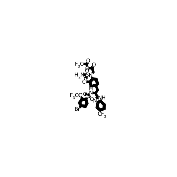 NS(=O)(=O)N(CC(=O)OC(=O)C(F)(F)F)c1ccc(CC(NS(=O)(=O)c2ccc(Br)cc2OC(F)(F)F)c2nc3cc(C(F)(F)F)ccc3[nH]2)cc1Cl